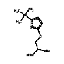 CCCCCCC(CCCC)COc1cc[c]([Sn]([CH3])([CH3])[CH3])s1